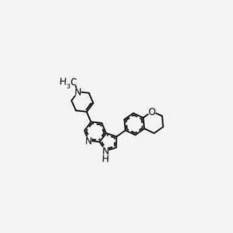 CN1CC=C(c2cnc3[nH]cc(-c4ccc5c(c4)CCCO5)c3c2)CC1